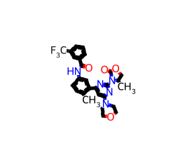 Cc1ccc(NC(=O)c2cccc(C(F)(F)F)c2)cc1-c1cc(N2CCOCC2)nc(N2C(=O)OCC2C)n1